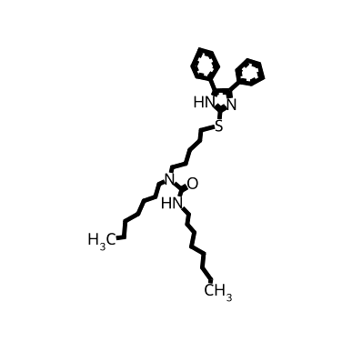 CCCCCCCCNC(=O)N(CCCCCCC)CCCCCSc1nc(-c2ccccc2)c(-c2ccccc2)[nH]1